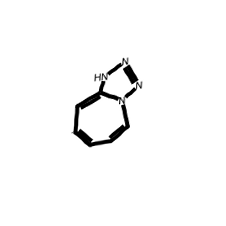 [C]1=CC=CN2N=NNC2=C1